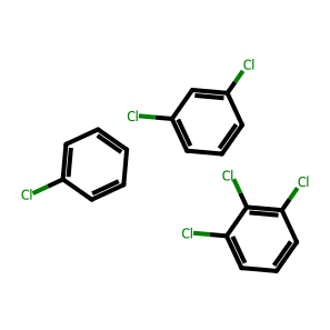 Clc1cccc(Cl)c1.Clc1cccc(Cl)c1Cl.Clc1ccccc1